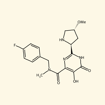 CO[C@H]1CN[C@H](c2nc(C(=O)N(C)Cc3ccc(F)cc3)c(O)c(=O)[nH]2)C1